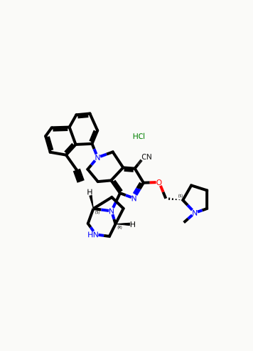 C#Cc1cccc2cccc(N3CCc4c(N5[C@@H]6CC[C@H]5CNC6)nc(OC[C@@H]5CCCN5C)c(C#N)c4C3)c12.Cl